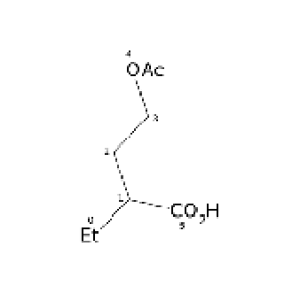 CCC(CCOC(C)=O)C(=O)O